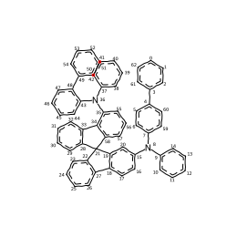 c1ccc(-c2ccc(N(c3ccccc3)c3ccc4c(c3)C3(c5ccccc5-4)c4ccccc4-c4c(N(c5ccccc5)c5ccccc5-c5ccccc5)cccc43)cc2)cc1